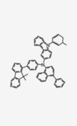 CC1C=C(n2c3ccccc3c3cc(N(c4ccc(-c5cccc6c5C(C)(C)c5ccccc5-6)cc4)c4ccc(-c5ccccc5)c5ccccc45)ccc32)C=CC1